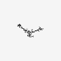 O=C(CCCCO[N+](=O)[O-])Oc1ccc(OC(=O)CCCCO[N+](=O)[O-])c(S(=O)(=O)O)c1